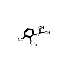 Cc1c(C#N)cccc1OB(O)O